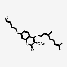 CCC=CCCOc1ccc2c(OCC=C(C)CCC=C(C)C)c(OC(C)=O)c(=O)oc2c1